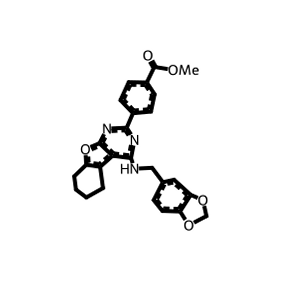 COC(=O)c1ccc(-c2nc(NCc3ccc4c(c3)OCO4)c3c4c(oc3n2)CCCC4)cc1